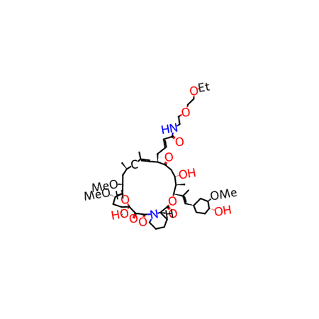 CCOCCOCCNC(=O)/C=C/C[C@@H]1/C=C(\C)C[C@H](C)C[C@H](OC)[C@H]2O[C@@](O)(C(=O)C(=O)N3CCCC[C@H]3C(=O)O[C@H](/C(C)=C/[C@@H]3CC[C@@H](O)[C@H](OC)C3)[C@H](C)[C@@H](O)CC1=O)[C@H](C)C[C@@H]2OC